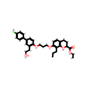 CCCc1c(OCCCOc2ccc(-c3ccc(F)cc3)cc2CCO)ccc2c1OC(C(=O)OCC)CC2